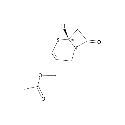 CC(=O)OCC1=CS[C@@H]2CC(=O)N2C1